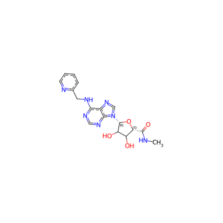 CNC(=O)[C@H]1O[C@@H](n2cnc3c(NCc4ccccn4)ncnc32)C(O)C1O